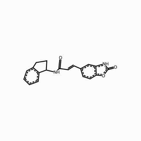 O=C(/C=C/c1ccc2oc(=O)[nH]c2c1)NC1CCc2ccccc21